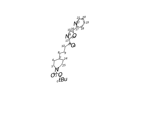 CC(C)(C)OC(=O)N1CCC(CCCC(=O)c2ncc(-c3ccccn3)o2)CC1